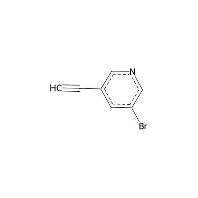 C#Cc1cncc(Br)c1